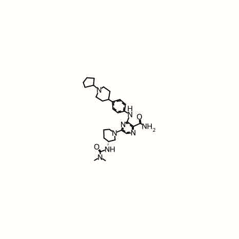 CN(C)C(=O)N[C@@H]1CCCN(c2cnc(C(N)=O)c(Nc3ccc(C4CCN(C5CCCC5)CC4)cc3)n2)C1